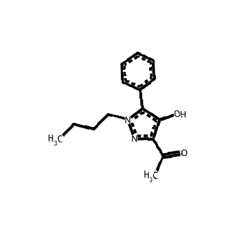 CCCCn1nc(C(C)=O)c(O)c1-c1ccccc1